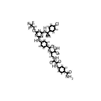 NC(=O)c1ccc(NC(=O)C(=O)NC/C(=N/C(=O)c2ccc(Nc3nc(NC4(c5ccc(Cl)cc5)CC4)nc(OCC(F)(F)F)n3)cc2)C(=O)O)cc1